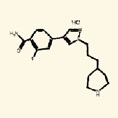 Cl.NC(=O)c1ccc(-c2cnn(CCCC3CCNCC3)c2)cc1F